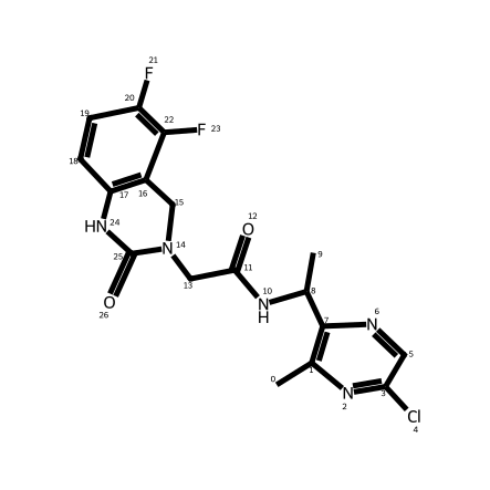 Cc1nc(Cl)cnc1C(C)NC(=O)CN1Cc2c(ccc(F)c2F)NC1=O